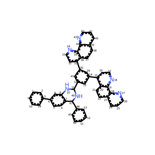 c1ccc(-c2ccc3c(c2)NC(c2cc(-c4ccnc5c4ccc4cccnc45)cc(-c4ccnc5c4ccc4cccnc45)c2)NC3c2ccccc2)cc1